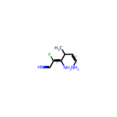 CC(/C=C\N)/C(N)=C(\F)C=N